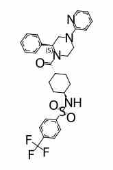 O=C([C@H]1CC[C@H](NS(=O)(=O)c2ccc(C(F)(F)F)cc2)CC1)N1CCN(c2ccccn2)C[C@@H]1c1ccccc1